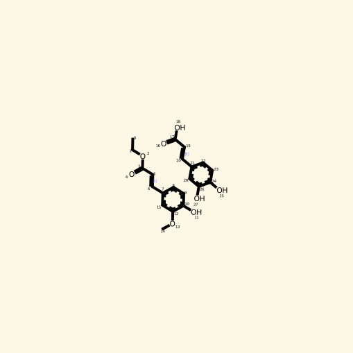 CCOC(=O)/C=C/c1ccc(O)c(OC)c1.O=C(O)/C=C/c1ccc(O)c(O)c1